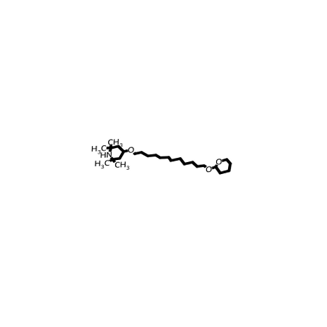 CC1(C)CC(OCCCCCCCCCCCCOC2CCCCO2)CC(C)(C)N1